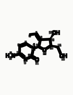 C/C=C1\[C@H](n2ccc(N)nc2=O)O[C@H](CO)[C@H]1O